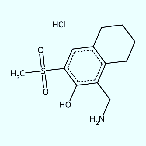 CS(=O)(=O)c1cc2c(c(CN)c1O)CCCC2.Cl